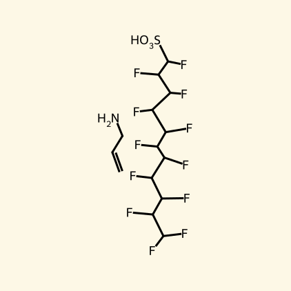 C=CCN.O=S(=O)(O)C(F)C(F)C(F)C(F)C(F)C(F)C(F)C(F)C(F)C(F)C(F)F